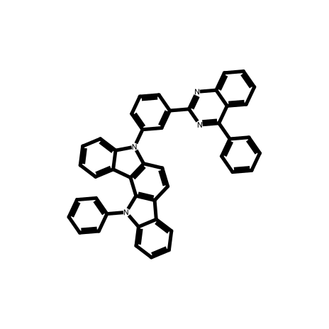 c1ccc(-c2nc(-c3cccc(-n4c5ccccc5c5c4ccc4c6ccccc6n(-c6ccccc6)c45)c3)nc3ccccc23)cc1